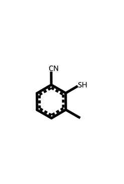 Cc1cccc(C#N)c1S